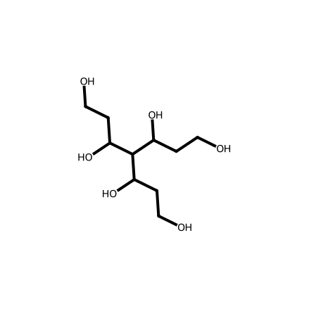 OCCC(O)C(C(O)CCO)C(O)CCO